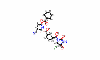 N#Cc1ccc(OC(=O)c2ccccc2)nc1OC(=O)c1cccc(C(=O)n2cc(F)c(=O)[nH]c2=O)c1